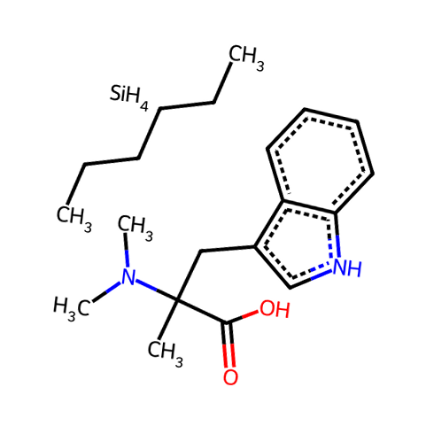 CCCCCC.CN(C)C(C)(Cc1c[nH]c2ccccc12)C(=O)O.[SiH4]